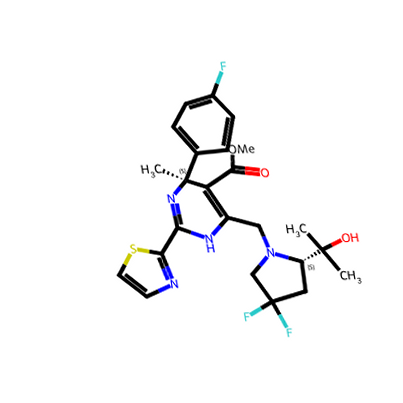 COC(=O)C1=C(CN2CC(F)(F)C[C@H]2C(C)(C)O)NC(c2nccs2)=N[C@@]1(C)c1ccc(F)cc1